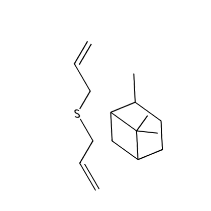 C=CCSCC=C.CC1CCC2CC1C2(C)C